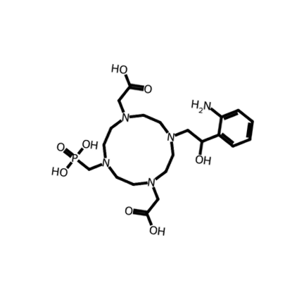 Nc1ccccc1C(O)CN1CCN(CC(=O)O)CCN(CP(=O)(O)O)CCN(CC(=O)O)CC1